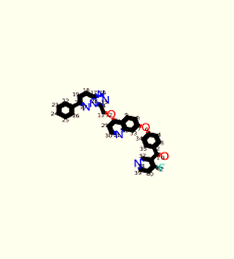 O=C(c1ccc(Oc2ccc3c(OCc4nnc5ccc(-c6ccccc6)nn45)ccnc3c2)cc1)c1cnccc1F